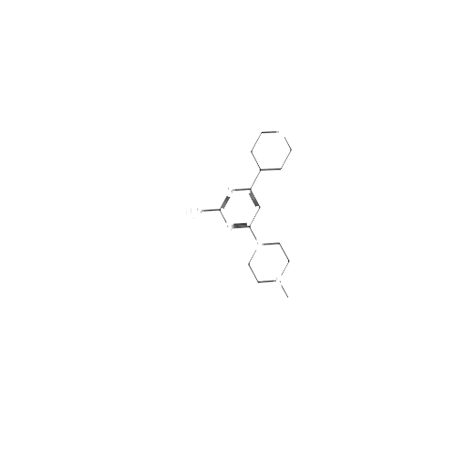 CN1CCN(c2cc(C3CCOCC3)nc(N)n2)CC1